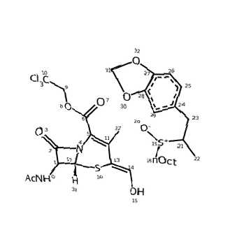 CC(=O)NC1C(=O)N2C(C(=O)OCC(Cl)(Cl)Cl)=C(C)/C(=C/O)S[C@H]12.CCCCCCCC[S+]([O-])C(C)Cc1ccc2c(c1)OCO2